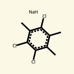 Cc1c(C)c(Cl)c(Cl)c(C)c1Cl.[NaH]